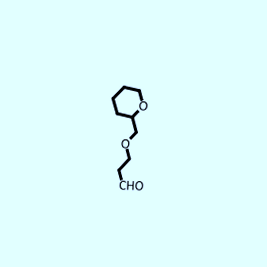 O=CCCOCC1CCCCO1